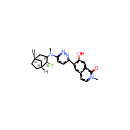 CN(c1ccc(-c2cc3ccn(C)c(=O)c3cc2O)nn1)[C@@H]1C[C@H]2CC[C@H](C2)[C@@H]1F